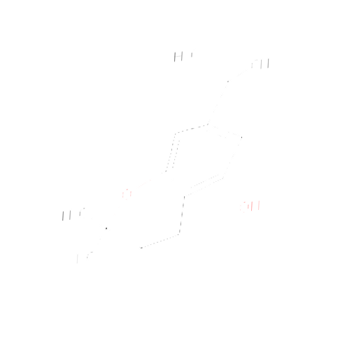 CC(C)c1cc(O)c2c(c1)OC(C)(C)CC2